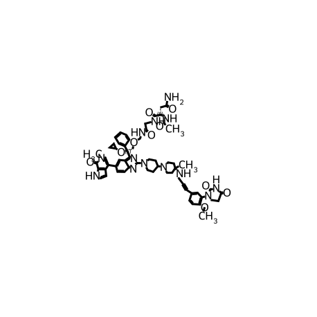 COc1ccc(C#CCNC2(C)CCN(C3CCN(c4nc([C@@](COCNC(=O)CNC(=O)[C@H](CC(N)=O)NC(C)=O)(OC5CC5)c5ccccc5)c5cc(-c6cn(C)c(=O)c7[nH]ccc67)ccc5n4)CC3)CC2)cc1N1CCC(=O)NC1=O